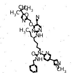 CCC[C@H](CCC/C=[N+](\C(=O)NCc1ccccc1)c1ccc(-c2cnn(C)c2)cn1)Nc1ncc(C#N)c(OCc2ncc(C(C)(C)C)o2)n1